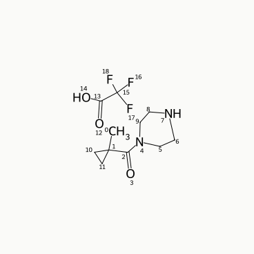 CC1(C(=O)N2CCNCC2)CC1.O=C(O)C(F)(F)F